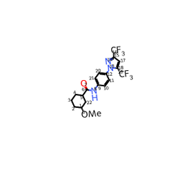 COC1CCCC(C(=O)Nc2ccc(-n3nc(C(F)(F)F)cc3C(F)(F)F)cc2)C1